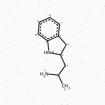 CC(N)CC1Cc2ccccc2N1